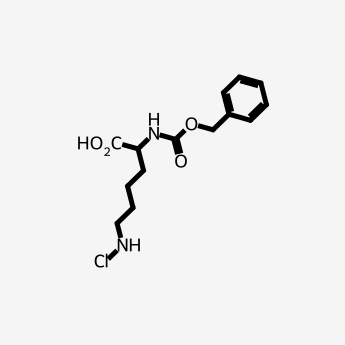 O=C(NC(CCCCNCl)C(=O)O)OCc1ccccc1